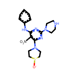 O=[N+]([O-])c1c(Nc2ccccc2)nc(N2CCNCC2)nc1N1CC[S+]([O-])CC1